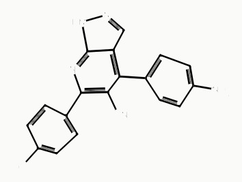 N#Cc1c(-c2ccc(O)cc2)nc2[nH]ncc2c1-c1ccc([N+](=O)[O-])cc1